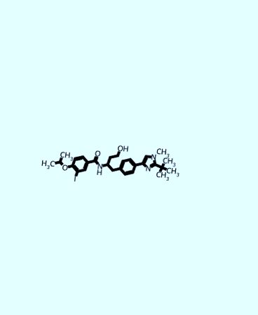 CC(C)Oc1ccc(C(=O)NC(CCO)Cc2ccc(-c3cn(C)c(C(C)(C)C)n3)cc2)cc1I